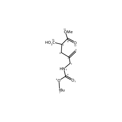 C=C(CNC(=O)OC(C)(C)C)CC(C(=O)O)C(=O)OC